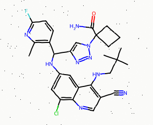 Cc1nc(F)ccc1C(Nc1cc(Cl)c2ncc(C#N)c(NCC(C)(C)C)c2c1)c1cn(C2(C(N)=O)CCC2)nn1